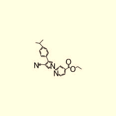 CCOC(=O)c1ccnc(-n2cc(C#N)c(-c3ccc(C(C)C)cc3)c2)c1